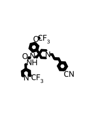 N#Cc1ccc(C=CCN2CCC3(CC2)CN(C(=O)NCc2ccnc(C(F)(F)F)c2)c2ccc(OC(F)(F)F)cc23)cc1